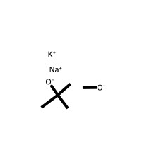 CC(C)(C)[O-].C[O-].[K+].[Na+]